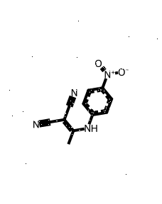 CC(Nc1ccc([N+](=O)[O-])cc1)=C(C#N)C#N